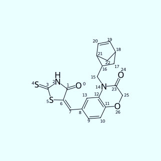 O=C1NC(=S)SC1=Cc1ccc2c(c1)N(CC1CC3C=CC1C3)C(=O)CO2